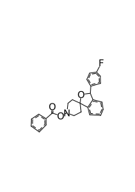 O=C(ON1CCC2(CC1)OC(c1ccc(F)cc1)c1ccccc12)c1ccccc1